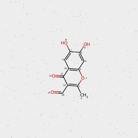 Cc1oc2cc(O)c(O)cc2c(=O)c1[C]=O